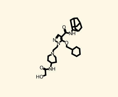 O=C(CO)NC1CCN(CCn2ncc(C(=O)NC3C4CC5CC(C4)CC3C5)c2OCC2CCCCC2)CC1